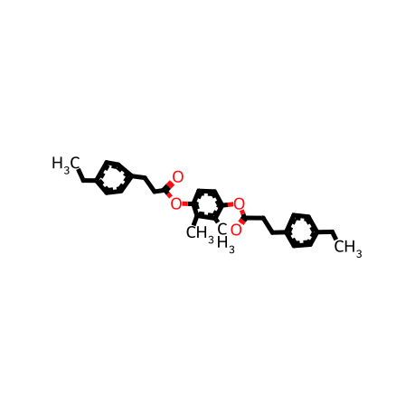 CCc1ccc(CCC(=O)Oc2ccc(OC(=O)CCc3ccc(CC)cc3)c(C)c2C)cc1